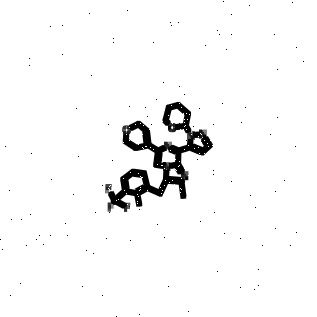 Cc1nc2c(-c3ccnn3C3CCCCO3)nc(C3=CCOCC3)cn2c1Cc1cccc(C(F)(F)F)c1C